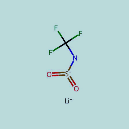 O=[S-](=O)[N]C(F)(F)F.[Li+]